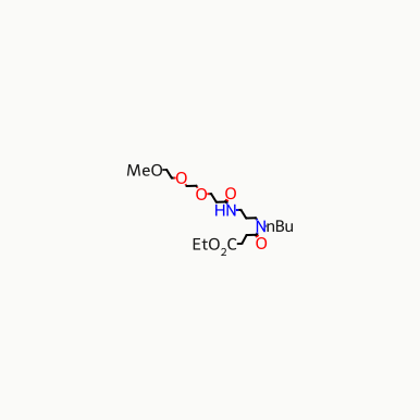 CCCCN(CCCNC(=O)CCOCCOCCOC)C(=O)CCC(=O)OCC